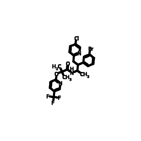 CC(NC(=O)C(C)(C)Oc1ccc(C(F)(F)F)cn1)C(Cc1ccc(Cl)cn1)c1cccc(Br)c1